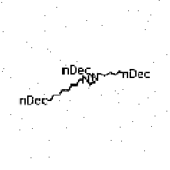 CCCCCCCCCCCCCCCCCC[n+]1ccn(CCCCCCCCCCCCCCC)c1CCCCCCCCCC